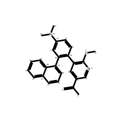 C=C(C)c1cnc(OC)c(-c2ccc(N(C)C)cc2-c2cccc3ccccc23)c1